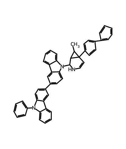 CC1C2C(n3c4ccccc4c4cc(-c5ccc6c(c5)c5ccccc5n6-c5ccccc5)ccc43)NC=CC12c1ccc(-c2ccccc2)cc1